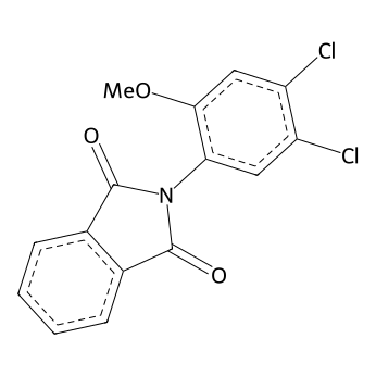 COc1cc(Cl)c(Cl)cc1N1C(=O)c2ccccc2C1=O